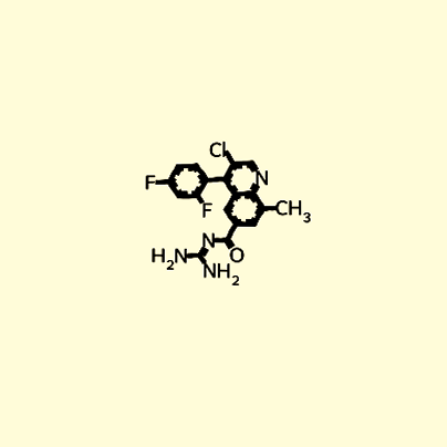 Cc1cc(C(=O)N=C(N)N)cc2c(-c3ccc(F)cc3F)c(Cl)cnc12